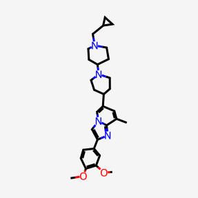 COc1ccc(-c2cn3cc(C4CCN(C5CCN(CC6CC6)CC5)CC4)cc(C)c3n2)cc1OC